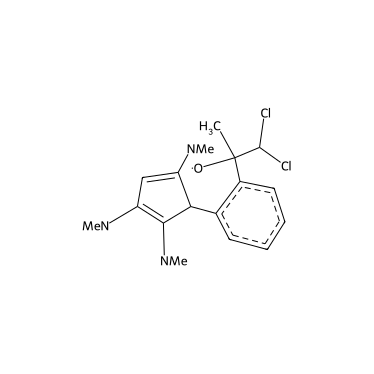 CNC1=CC(NC)=C(NC)C1c1ccccc1C(C)([O])C(Cl)Cl